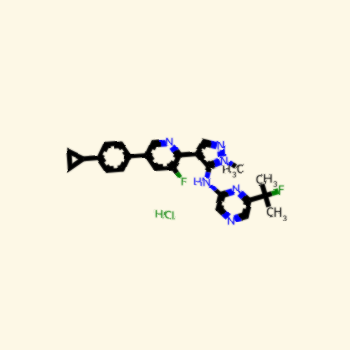 Cl.Cn1ncc(-c2ncc(-c3ccc(C4CC4)cc3)cc2F)c1Nc1cncc(C(C)(C)F)n1